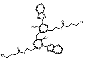 O=C(CCCO)OCCc1cc(Cc2cc(CCOC(=O)CCCO)cc(-n3nc4ccccc4n3)c2O)c(O)c(-n2nc3ccccc3n2)c1